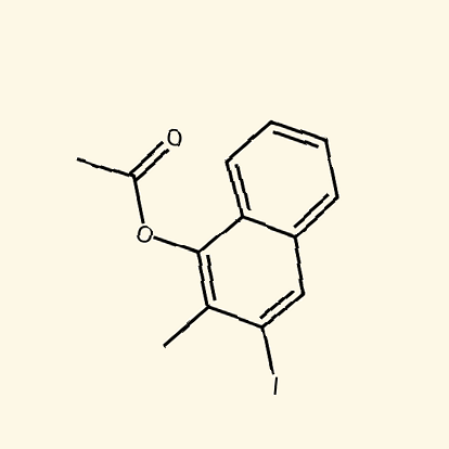 CC(=O)Oc1c(C)c(I)cc2ccccc12